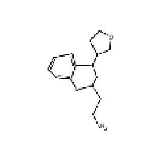 NCCC1CC(C2CCOC2)c2ccccc2N1